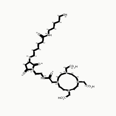 O=C(O)CN1CCN(CC(=O)O)CCN(CC(=O)NCCN2C(=O)CC(SCCCCCC(=O)NCCCCCS)C2=O)CCN(CC(=O)O)CC1